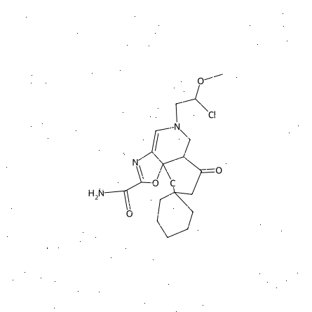 COC(Cl)CN1C=C2N=C(C(N)=O)OC23CC2(CCCCC2)CC(=O)C3C1